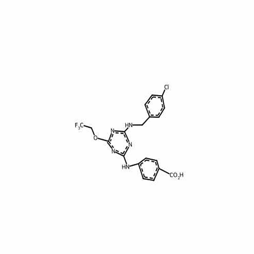 O=C(O)c1ccc(Nc2nc(NCc3ccc(Cl)cc3)nc(OCC(F)(F)F)n2)cc1